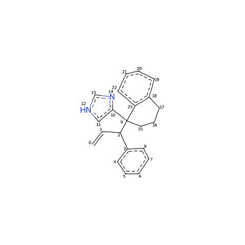 C=CC(c1ccccc1)C1(c2c[nH]cn2)CCCc2ccccc21